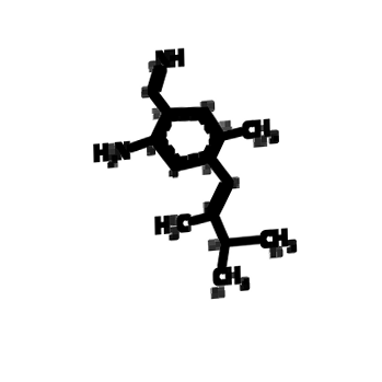 C/C(=C\c1cc(N)c(C=N)cc1C)C(C)C